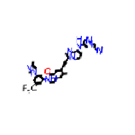 C=CC/C=C(C)\C(C#Cc1cnc2n1CCC=C2Nc1cnn(CCN(C)C)c1)=C/CC(=O)Nc1cc(-n2cnc(C)c2)cc(C(F)(F)F)c1